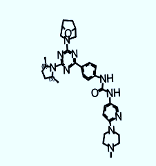 C[C@@H]1CC[C@H](C)N1c1nc(-c2ccc(NC(=O)Nc3ccc(N4CCN(C)CC4)nc3)cc2)nc(N2CC3CCC(C2)O3)n1